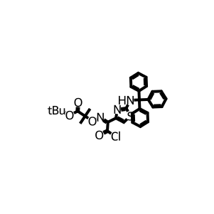 CC(C)(C)OC(=O)C(C)(C)ON=C(C(=O)Cl)c1csc(NC(c2ccccc2)(c2ccccc2)c2ccccc2)n1